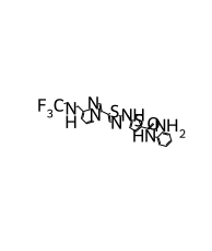 Nc1ccccc1NC(=O)c1ccc(Nc2ncc(-c3cnc4c(CNCC(F)(F)F)cccn34)s2)s1